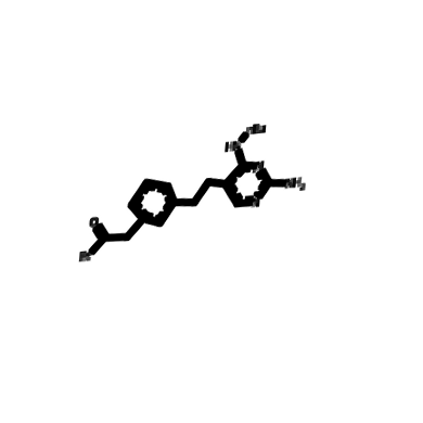 CCCCNc1nc(N)ncc1CCc1cccc(CC(=O)CC)c1